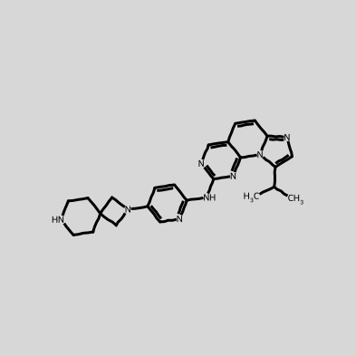 CC(C)c1cnc2ccc3cnc(Nc4ccc(N5CC6(CCNCC6)C5)cn4)nc3n12